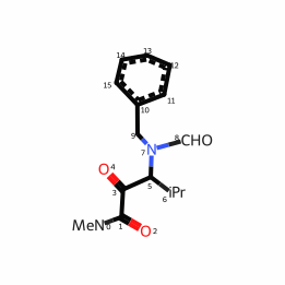 CNC(=O)C(=O)C(C(C)C)N(C=O)Cc1ccccc1